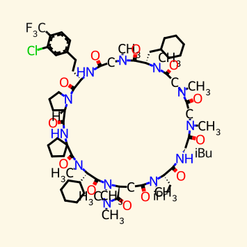 CC[C@H](C)[C@@H]1NC(=O)[C@H](CC(C)C)N(C)C(=O)C[C@@H](C(=O)N(C)C)N(C)C(=O)[C@H](C2CCCCC2)N(C)C(=O)C2(CCCC2)NC(=O)[C@@H]2CCCN2C(=O)[C@H](CCc2ccc(C(F)(F)F)c(Cl)c2)NC(=O)CN(C)C(=O)[C@H](CC2CCCCC2)N(C)C(=O)CN(C)C(=O)CN(C)C1=O